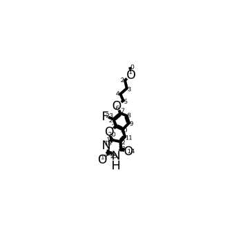 COCCCCOc1ccc2cc3c(=O)[nH]c(=O)nc-3oc2c1F